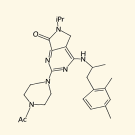 CC(=O)N1CCN(c2nc(NC(C)Cc3ccc(C)cc3C)c3c(n2)C(=O)N(C(C)C)C3)CC1